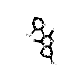 Cc1ccn2c(=S)n(-c3ncccc3C)c(=S)nc2c1